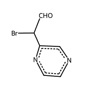 O=CC(Br)c1cnccn1